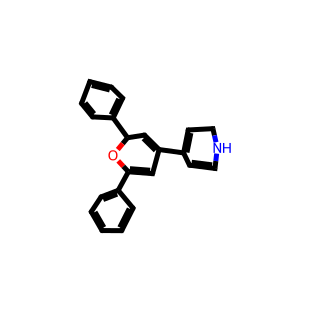 C1=CC(C2=CC(c3ccccc3)OC(c3ccccc3)=C2)=CCN1